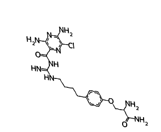 N=C(NCCCCc1ccc(OCC(N)C(N)=O)cc1)NC(=O)c1nc(Cl)c(N)nc1N